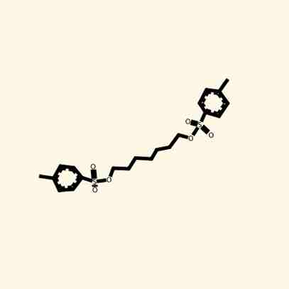 Cc1ccc(S(=O)(=O)OCCCCCCCOS(=O)(=O)c2ccc(C)cc2)cc1